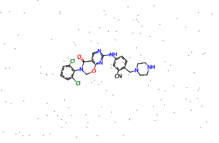 N#Cc1cc(Nc2ncc3c(n2)OCN(c2c(Cl)cccc2Cl)C3=O)ccc1CN1CCNCC1